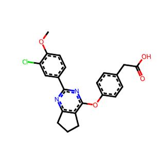 COc1ccc(-c2nc3c(c(Oc4ccc(CC(=O)O)cc4)n2)CCC3)cc1Cl